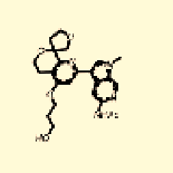 CC(=O)Nc1cc2c(-c3cc(OCCCO)c4c(n3)C3(CCOC3)OCC4)cn(C)c2cn1